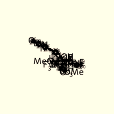 COC(=O)N[C@H](C(=O)N[C@@H](Cc1ccc(C#Cc2cnc(N3CCN(C4COC4)CC3)nc2)cc1)[C@@H](O)CN(Cc1c(F)cc(-c2ccn(C(F)F)n2)cc1F)NC(=O)[C@@H](NC(=O)OC)C(C)(C)C(F)(F)F)C(C)(C)C(F)(F)F